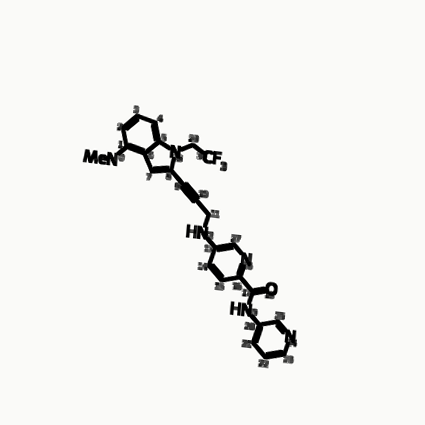 CNc1cccc2c1cc(C#CCNc1ccc(C(=O)Nc3cccnc3)nc1)n2CC(F)(F)F